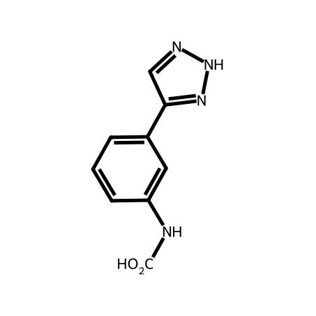 O=C(O)Nc1cccc(-c2cn[nH]n2)c1